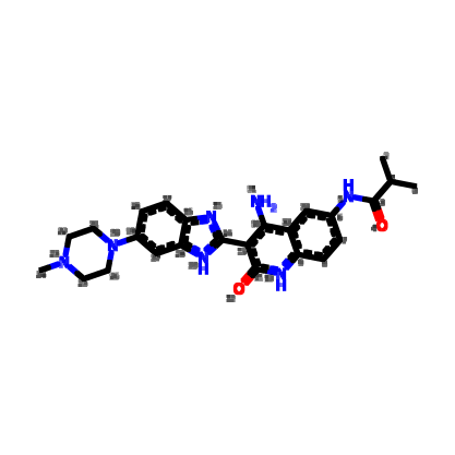 CC(C)C(=O)Nc1ccc2[nH]c(=O)c(-c3nc4ccc(N5CCN(C)CC5)cc4[nH]3)c(N)c2c1